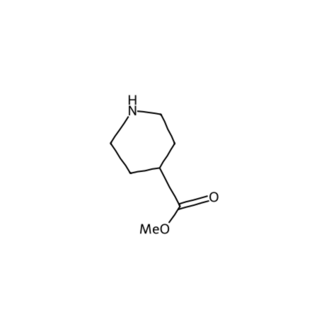 [CH2]OC(=O)C1CCNCC1